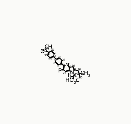 C[S+]([O-])c1ccc(-c2ccc(-c3nc4cc(CC(C)(C)CC(=O)O)[nH]c4cc3F)cc2)cc1